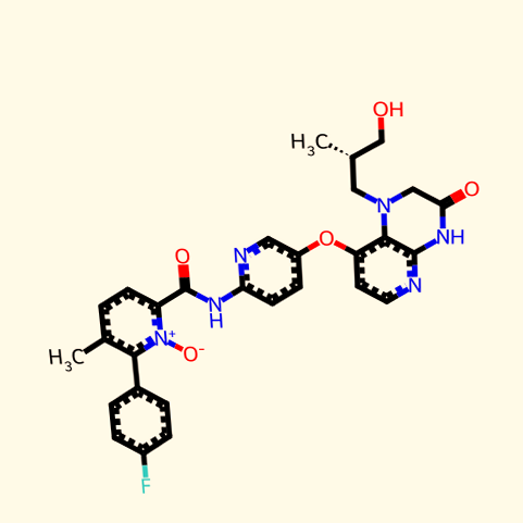 Cc1ccc(C(=O)Nc2ccc(Oc3ccnc4c3N(C[C@H](C)CO)CC(=O)N4)cn2)[n+]([O-])c1-c1ccc(F)cc1